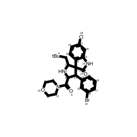 CC(C)(C)CC1NC(C(=O)N2CCOCC2)C(c2cccc(Br)c2)C12C(=O)Nc1cc(Cl)ccc12